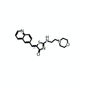 O=C1N=C(NCCN2CCOCC2)S/C1=C\c1ccc2ncccc2c1